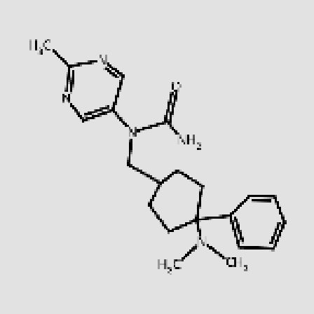 Cc1ncc(N(CC2CCC(c3ccccc3)(N(C)C)CC2)C(N)=O)cn1